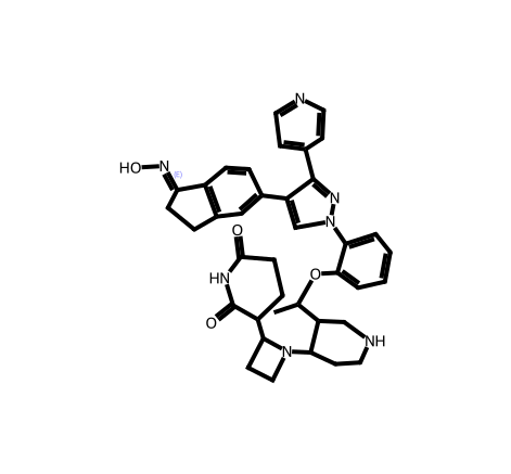 CC(Oc1ccccc1-n1cc(-c2ccc3c(c2)CC/C3=N\O)c(-c2ccncc2)n1)C1CNCCC1N1CCC1C1CCC(=O)NC1=O